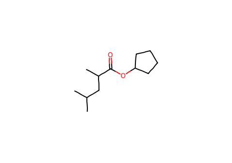 CC(C)CC(C)C(=O)OC1CCCC1